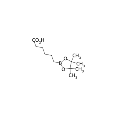 CC1(C)OB(CCCCCC(=O)O)OC1(C)C